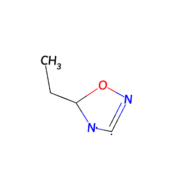 CCC1[N][C]=NO1